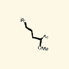 COC(CCCC(C)C)C(C)=O